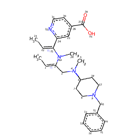 C/C=C(/CN(C)C1CCN(Cc2ccccc2)CC1)N(C)/C(=C/C)c1cc(C(=O)O)ccn1